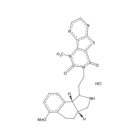 COc1cccc2c1CC[C@H]1CNC(CCn3c(=O)c4sc5nccnc5c4n(C)c3=O)[C@@H]21.Cl